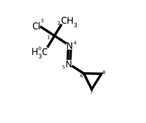 CC(C)(Cl)N=NC1CC1